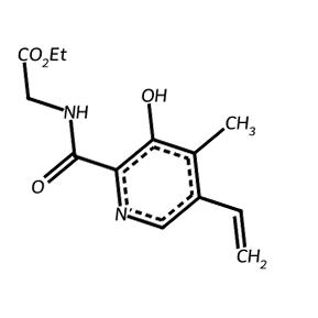 C=Cc1cnc(C(=O)NCC(=O)OCC)c(O)c1C